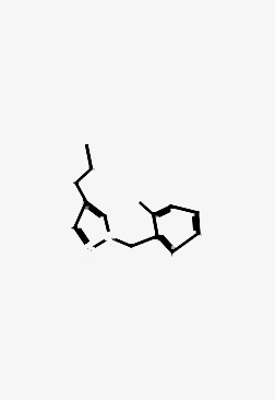 CCCc1cnn(Cc2ccccc2F)c1